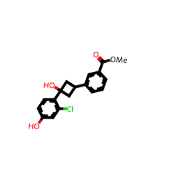 COC(=O)c1cccc(C2CC(O)(c3ccc(O)cc3Cl)C2)c1